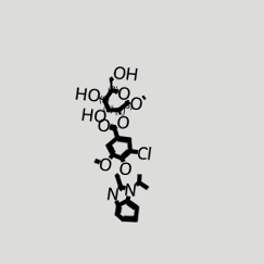 COc1cc(C(=O)O[C@H]2[C@@H](OC)O[C@H](CO)[C@@H](O)[C@@H]2O)cc(Cl)c1OCc1nc2ccccc2n1C(C)C